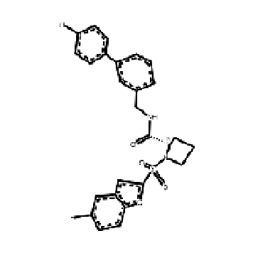 O=C(NCc1cccc(-c2ccc(Cl)cc2)c1)[C@@H]1CCCN1S(=O)(=O)c1cc2cc(F)ccc2o1